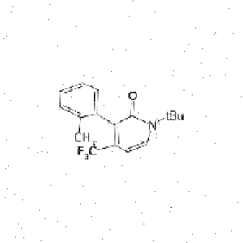 Cc1ccccc1-c1c(C(F)(F)F)ccn(C(C)(C)C)c1=O